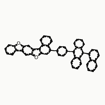 c1ccc2c(-c3c4ccccc4c(-c4ccc(-c5cc6oc7cc8c(cc7c6c6ccccc56)oc5ccccc58)cc4)c4ccccc34)cccc2c1